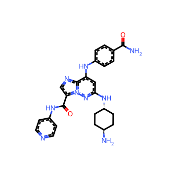 NC(=O)c1ccc(Nc2cc(N[C@H]3CC[C@H](N)CC3)nn3c(C(=O)Nc4ccncc4)cnc23)cc1